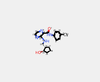 N#Cc1ccc(NC(=O)c2nccnc2NC[C@@H]2CCC[C@H]2O)cc1